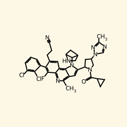 Cc1ncn(C2CC(c3cc4c(C)nc5c(F)c(-c6cccc(Cl)c6Cl)c(CCC#N)cc5c4n3C3C4CNC3C4)N(C(=O)C3CC3)C2)n1